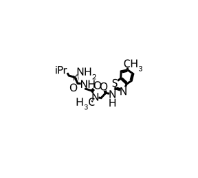 Cc1ccc2nc(NC(=O)CN(C)C(=O)CNC(=O)[C@@H](N)CC(C)C)sc2c1